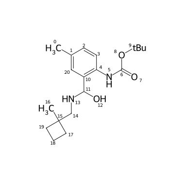 Cc1ccc(NC(=O)OC(C)(C)C)c(C(O)NCC2(C)CCC2)c1